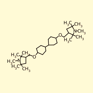 CN1C(C)(C)CC(COC2CCC(C3CCC(OCC4CC(C)(C)N(C)C4(C)C)CC3)CC2)C1(C)C